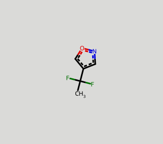 CC(F)(F)c1cnoc1